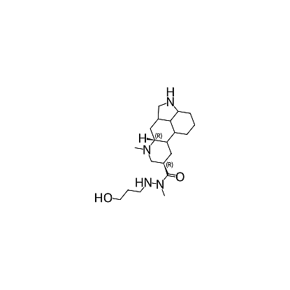 CN(NCCCO)C(=O)[C@@H]1CC2C3CCCC4NCC(C[C@H]2N(C)C1)C43